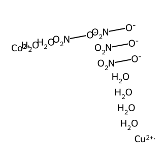 O.O.O.O.O.O.O=[N+]([O-])[O-].O=[N+]([O-])[O-].O=[N+]([O-])[O-].O=[N+]([O-])[O-].[Co+2].[Cu+2]